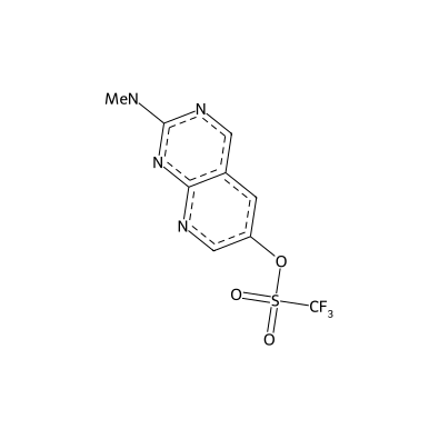 CNc1ncc2cc(OS(=O)(=O)C(F)(F)F)cnc2n1